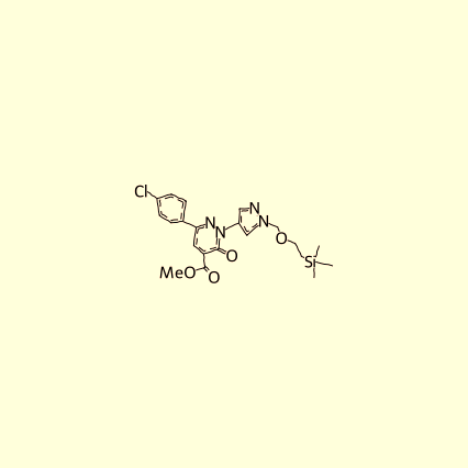 COC(=O)c1cc(-c2ccc(Cl)cc2)nn(-c2cnn(COCC[Si](C)(C)C)c2)c1=O